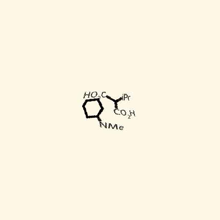 CC(C)C(C(=O)O)C(=O)O.CNC1CCCCC1